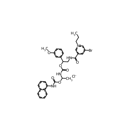 CCC[n+]1cc(Br)cc(C(=O)NCC(OC(=O)NC(C)OC(=O)Nc2cccc3ccccc23)c2cccc(OC)c2)c1.[Cl-]